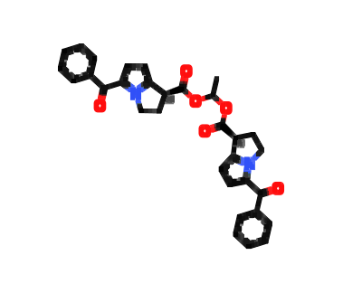 CC(OC(=O)[C@H]1CCn2c(C(=O)c3ccccc3)ccc21)OC(=O)[C@H]1CCn2c(C(=O)c3ccccc3)ccc21